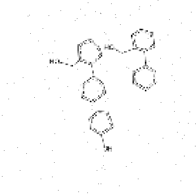 OCc1ccccc1-c1ccccc1.OCc1ccccc1-c1ccccc1.Oc1ccccc1